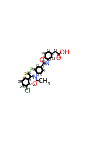 CC(=O)N(c1ccc(-c2nc3cc(CC(=O)O)ccc3o2)cc1F)c1csc2ccc(Cl)cc12